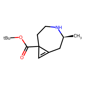 C[C@H]1CC2=CC2(C(=O)OC(C)(C)C)CCN1